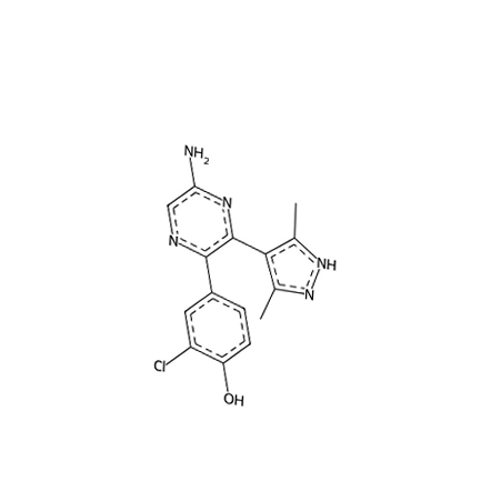 Cc1n[nH]c(C)c1-c1nc(N)cnc1-c1ccc(O)c(Cl)c1